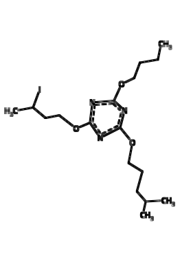 CCCCOc1nc(OCCCC(C)C)nc(OCCC(C)I)n1